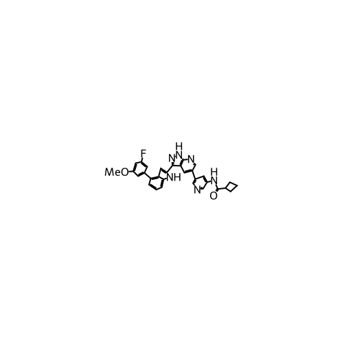 COc1cc(F)cc(-c2cccc3[nH]c(-c4n[nH]c5ncc(-c6cncc(NC(=O)C7CCC7)c6)cc45)cc23)c1